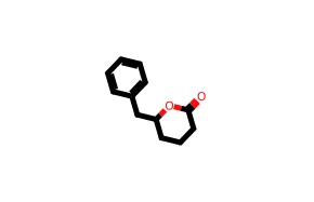 O=C1CCCC(Cc2ccccc2)O1